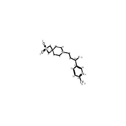 O=S1(=O)CC2(CCN(CCC(F)c3ccc(C(F)(F)F)nc3)CC2)C1